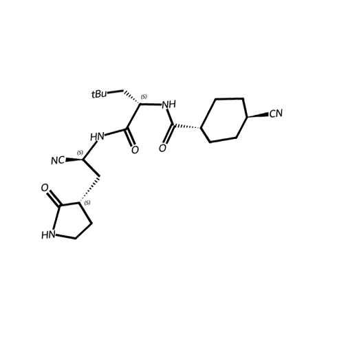 CC(C)(C)C[C@H](NC(=O)[C@H]1CC[C@H](C#N)CC1)C(=O)N[C@H](C#N)C[C@@H]1CCNC1=O